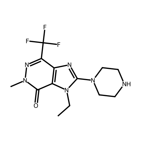 CCn1c(N2CCNCC2)nc2c(C(F)(F)F)nn(C)c(=O)c21